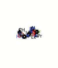 CCN(C(=O)c1cc(F)ccc1Oc1cncnc1N1CC2(CCN(C[C@H]3CC[C@H](NS(=O)(=O)N4CCC(C)C4)CC3)CC2)C1)C(C)C